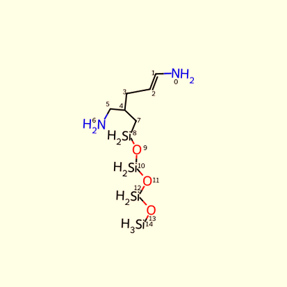 NC=CCC(CN)C[SiH2]O[SiH2]O[SiH2]O[SiH3]